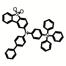 O=S1(=O)c2ccccc2-c2cc(N(c3ccc(-c4ccccc4)cc3)c3ccc([Si](c4ccccc4)(c4ccccc4)c4ccccc4)cc3)ccc21